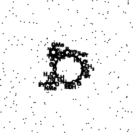 CC[C@H](C)[C@H]1NC[C@@H](NC(=O)[C@@H](CC(C)C)NC)[C@@H](C)OC(=O)[C@H](Cc2ccc(OC)cc2)N(C)C(=O)[C@@H]2CCCN2C(=O)[C@H](CC(C)C)NC(=O)[C@@H](C)C(=O)[C@H](C(C)C)OC(=O)C[C@@H]1O